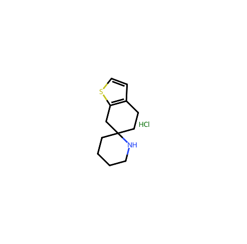 Cl.c1cc2c(s1)CC1(CCCCN1)CC2